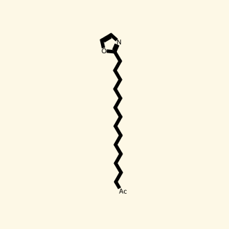 CC(=O)CCCCCCCCCCCCCCc1ncco1